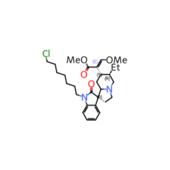 CC[C@H]1CN2CC[C@]3(C(=O)N(CCCCCCCCl)c4ccccc43)C2C[C@@H]1/C(=C\OC)C(=O)OC